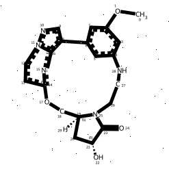 COc1cc2cc(c1)-c1cnn3ccc(nc13)OC[C@@H]1C[C@@H](O)C(=O)N1CCN2